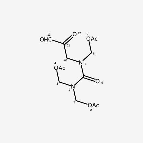 CC(=O)OCN(COC(C)=O)C(=O)N(COC(C)=O)CC(=O)C=O